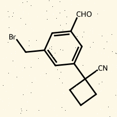 N#CC1(c2cc(C=O)cc(CBr)c2)CCC1